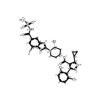 CC[C@@H]1C[C@H](OC(=O)c2c(-c3c(Cl)cccc3Cl)noc2C2CC2)CCN1c1nc2c(F)cc(C(=O)NS(C)(=O)=O)cc2s1